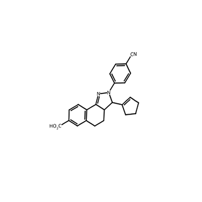 N#Cc1ccc(N2N=C3c4ccc(C(=O)O)cc4CCC3C2C2=CCCC2)cc1